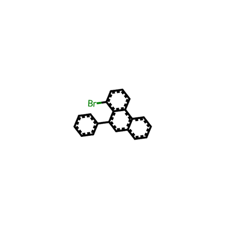 Brc1cccc2c1c(-c1ccccc1)cc1ccccc12